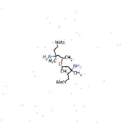 CNCCC(C)(N)CC(C)OC(C)CC(C)(N)CCNC